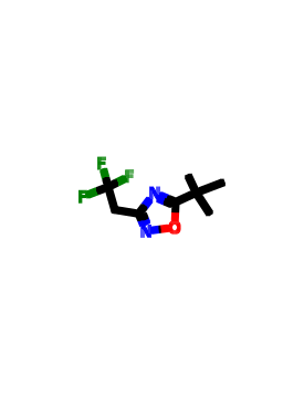 CC(C)(C)c1nc(CC(F)(F)F)no1